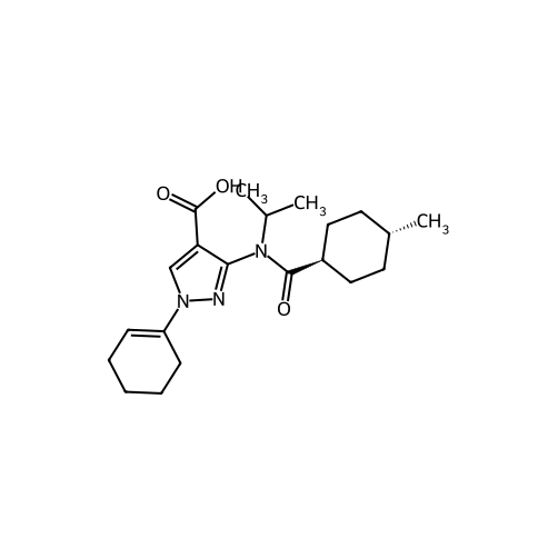 CC(C)N(c1nn(C2=CCCCC2)cc1C(=O)O)C(=O)[C@H]1CC[C@H](C)CC1